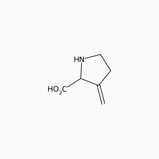 C=C1CCNC1C(=O)O